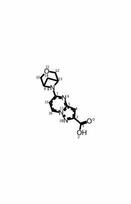 O=C(O)c1cc2nc(N3C4COCC3C4)ccn2n1